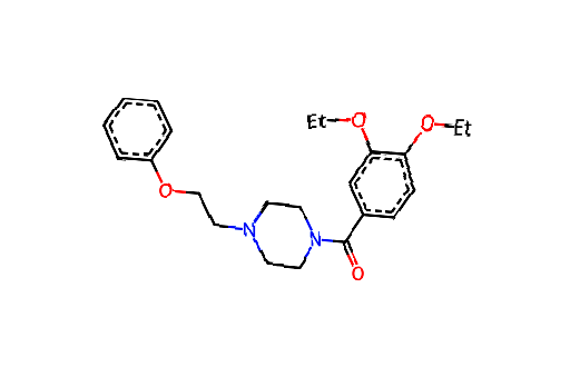 CCOc1ccc(C(=O)N2CCN(CCOc3ccccc3)CC2)cc1OCC